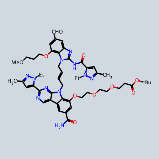 CCn1nc(C)cc1C(=O)Nc1nc2cc(C=O)cc(OCCCOC)c2n1C/C=C/Cn1c2nc(-c3cc(C)nn3CC)ncc2c2cc(C(N)=O)cc(OCCOCCOCCC(=O)OC(C)(C)C)c21